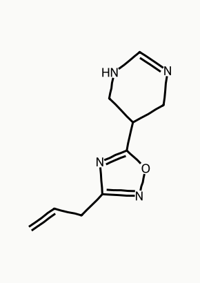 C=CCc1noc(C2CN=CNC2)n1